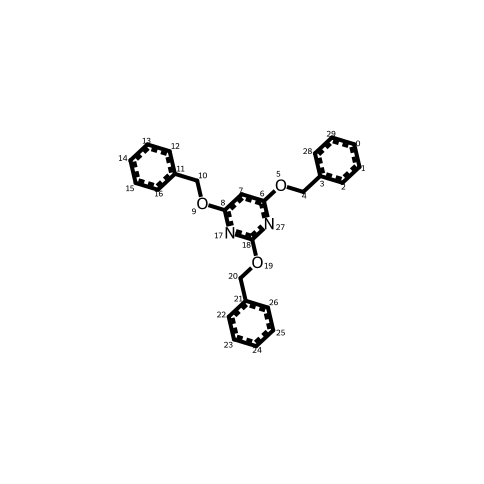 c1ccc(COc2cc(OCc3ccccc3)nc(OCc3ccccc3)n2)cc1